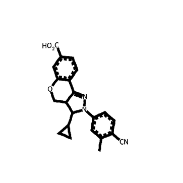 Cc1cc(N2N=C3c4ccc(C(=O)O)cc4OCC3C2C2CC2)ccc1C#N